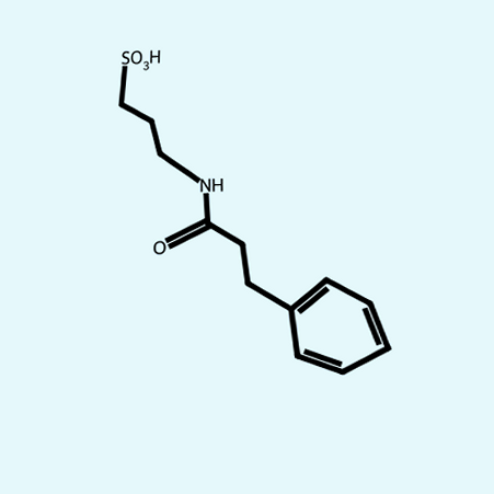 O=C(CCc1ccccc1)NCCCS(=O)(=O)O